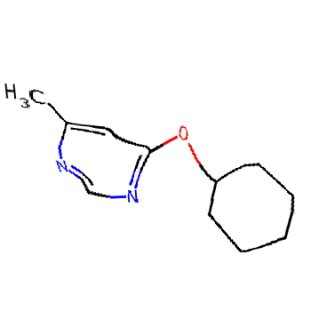 Cc1cc(OC2CCCCC2)ncn1